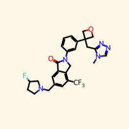 Cn1cnnc1CC1(c2cccc(N3Cc4c(cc(CN5CCC(F)C5)cc4C(F)(F)F)C3=O)c2)COC1